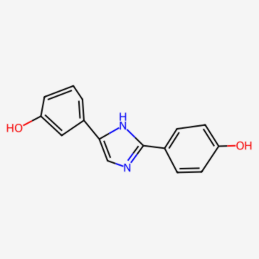 Oc1ccc(-c2ncc(-c3cccc(O)c3)[nH]2)cc1